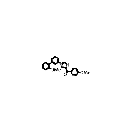 COc1ccc(C(=O)c2cn(-c3cccc(-c4ccccc4OC)c3)cn2)cc1